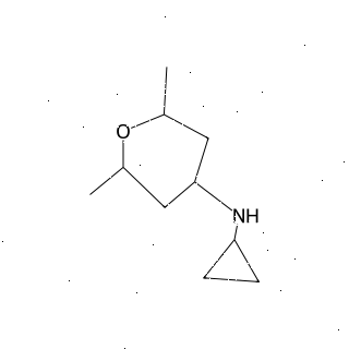 CC1CC(NC2CC2)CC(C)O1